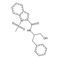 CS(=O)(=O)n1c(C(=O)NC(CO)Cc2ccccc2)cc2ccccc21